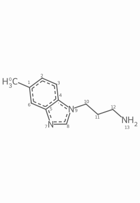 Cc1ccc2c(c1)ncn2CCCN